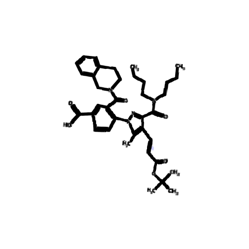 CCCCN(CCCC)C(=O)c1nn(-c2ccc(C(=O)O)cc2C(=O)N2CCc3ccccc3C2)c(C)c1/C=C/C(=O)OC(C)(C)C